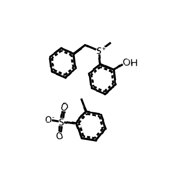 C[S+](Cc1ccccc1)c1ccccc1O.Cc1ccccc1S(=O)(=O)[O-]